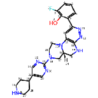 Oc1c(F)cccc1-c1cc2c(nn1)NC[C@@H]1CN(c3ncc(C4CCNCC4)cn3)CCN21